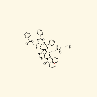 C[Si](C)(C)CCOC(=O)NCCCc1cn([C@H]2O[C@@H](COC(=O)c3ccccc3)[C@H](OC(=O)c3ccccc3)[C@@H]2OC(=O)c2ccccc2)c2ncnc(N(C(=O)c3ccccc3)C(=O)c3ccccc3)c12